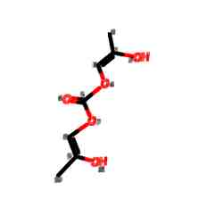 CC(O)=COC(=O)OC=C(C)O